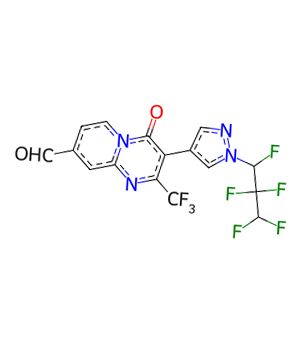 O=Cc1ccn2c(=O)c(-c3cnn(C(F)C(F)(F)C(F)F)c3)c(C(F)(F)F)nc2c1